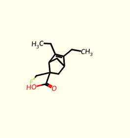 CCC1=C(CC)C2CC1CC2(CF)C(=O)O